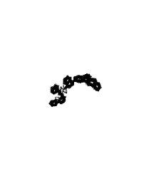 CC1(C)c2ccc(-c3ccc(-c4nc(-c5ccccc5)cc(-c5cccc6c5oc5ccccc56)n4)c4ccccc34)cc2-c2cc3ccccc3cc21